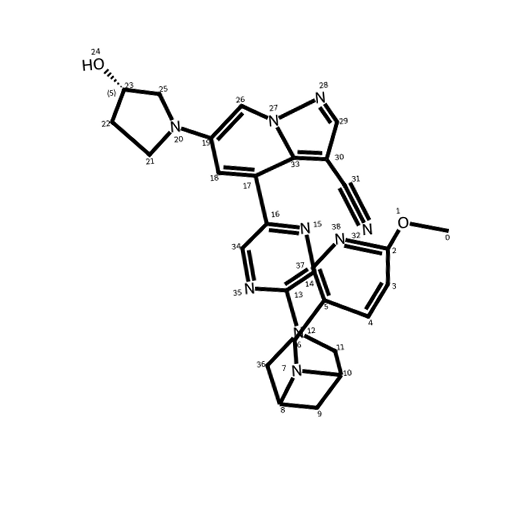 COc1ccc(CN2C3CC2CN(c2cnc(-c4cc(N5CC[C@H](O)C5)cn5ncc(C#N)c45)cn2)C3)cn1